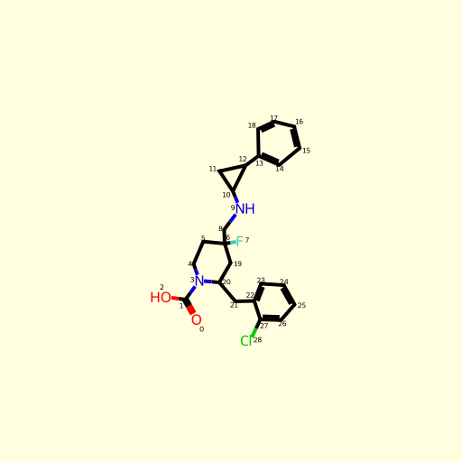 O=C(O)N1CCC(F)(CNC2CC2c2ccccc2)CC1Cc1ccccc1Cl